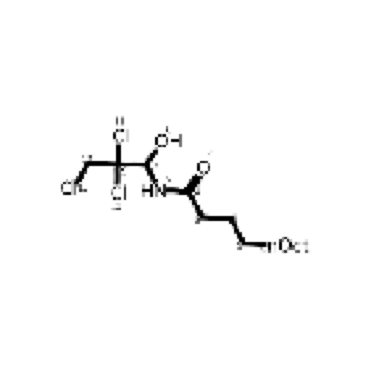 CCCCCCCCCCCC(=O)NC(O)C(Cl)(Cl)CCl